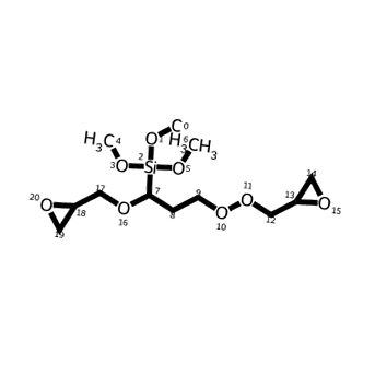 CO[Si](OC)(OC)C(CCOOCC1CO1)OCC1CO1